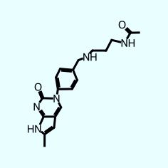 CC(=O)NCCCNCc1ccc(-n2cc3cc(C)[nH]c3nc2=O)cc1